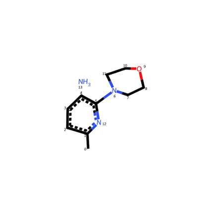 Cc1cccc(N2CCOCC2)n1.N